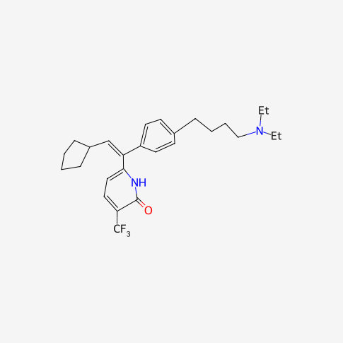 CCN(CC)CCCCc1ccc(C(=CC2CCCC2)c2ccc(C(F)(F)F)c(=O)[nH]2)cc1